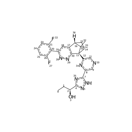 CC[C@H](O)c1n[nH]c(-c2cncc([C@@]34CC[C@@H](c5cc(-c6c(F)cccc6F)nnc53)C4(C)C)n2)n1